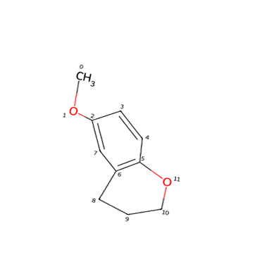 COc1ccc2c(c1)CCCO2